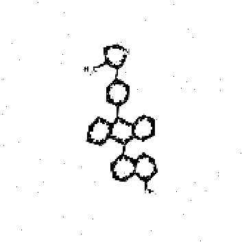 Cc1ccncc1-c1ccc(-c2c3ccccc3c(-c3cccc4c(C)cccc34)c3ccccc23)cc1